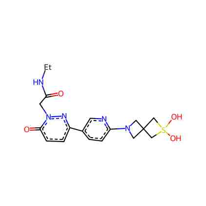 CCNC(=O)Cn1nc(-c2ccc(N3CC4(C3)CS(O)(O)C4)nc2)ccc1=O